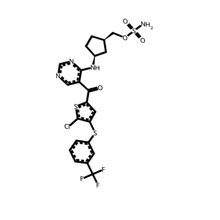 NS(=O)(=O)OC[C@@H]1CC[C@H](Nc2ncncc2C(=O)c2cc(Sc3cccc(C(F)(F)F)c3)c(Cl)s2)C1